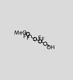 COc1ccc(CCc2ccc(-c3ccc(C4CCC(CO)CC4)c(F)c3F)cc2)c(F)c1F